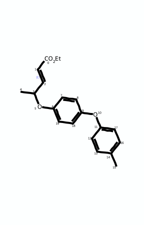 CCOC(=O)/C=C/C(C)Oc1ccc(Oc2ccc(C)cc2)cc1